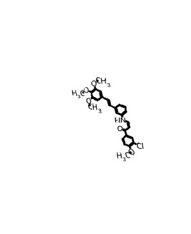 COc1ccc(C(=O)/C=C\Nc2cccc(/C=C/c3cc(OC)c(OC)c(OC)c3)c2)cc1Cl